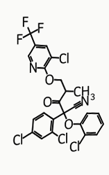 CC(COc1ncc(C(F)(F)F)cc1Cl)C(=O)C(C#N)(Oc1ccccc1Cl)c1ccc(Cl)cc1Cl